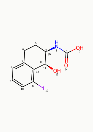 O=C(O)N[C@@H]1CCc2cccc(I)c2[C@@H]1O